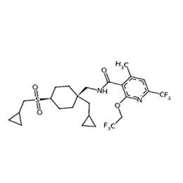 Cc1cc(C(F)(F)F)nc(OCC(F)(F)F)c1C(=O)NC[C@]1(CC2CC2)CC[C@H](S(=O)(=O)CC2CC2)CC1